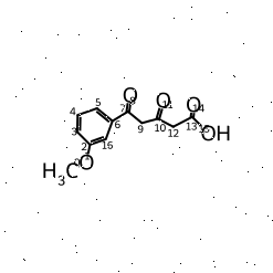 COc1cccc(C(=O)CC(=O)CC(=O)O)c1